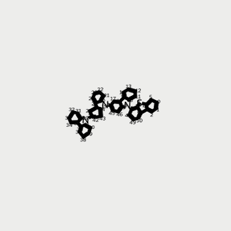 c1ccc2c(c1)sc1c(-n3c4ccccc4c4cc(-n5c6ccccc6c6cc(-n7c8ccccc8c8ccccc87)ccc65)ccc43)cccc12